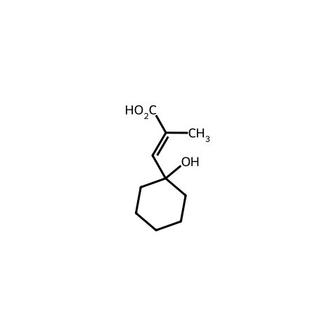 CC(=CC1(O)CCCCC1)C(=O)O